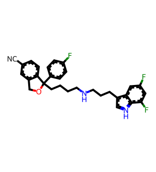 N#Cc1ccc2c(c1)COC2(CCCCNCCCc1c[nH]c2c(F)cc(F)cc12)c1ccc(F)cc1